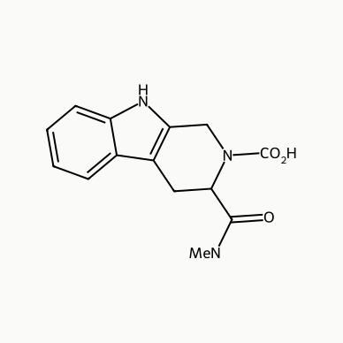 CNC(=O)C1Cc2c([nH]c3ccccc23)CN1C(=O)O